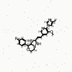 COc1cc(/C=C/C2NC3C(c4ccc(F)cc4)OCCN3N2)cnc1-n1cnc(C)c1